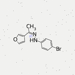 C/C(=N/Nc1ccc(Br)cc1)c1ccoc1